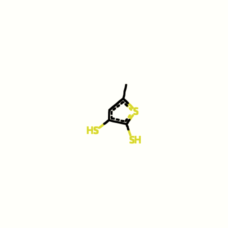 Cc1cc(S)c(S)s1